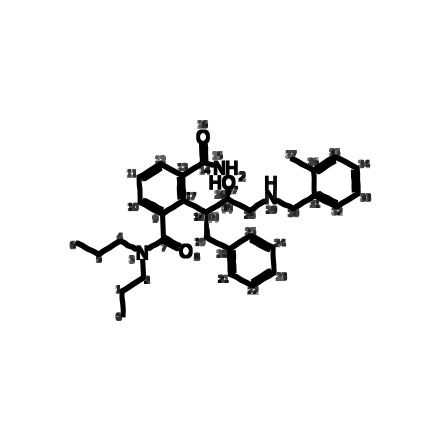 CCCN(CCC)C(=O)c1cccc(C(N)=O)c1[C@H](Cc1ccccc1)[C@@H](O)CNCc1ccccc1C